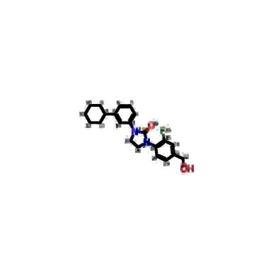 O=C1N(c2cccc(C3CCCCC3)c2)CCN1c1ccc(CO)cc1F